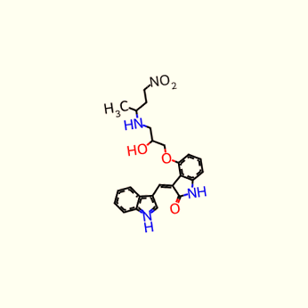 CC(CC[N+](=O)[O-])NCC(O)COc1cccc2c1C(=Cc1c[nH]c3ccccc13)C(=O)N2